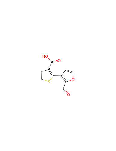 O=Cc1occc1-c1sccc1C(=O)O